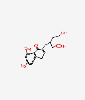 O=C1C(CC(CO)CCO)=CCc2cc(O)cc(O)c21